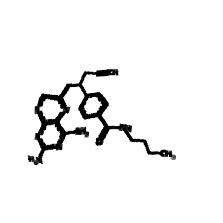 C#CCC(Cc1cnc2nc(N)nc(N)c2n1)c1ccc(C(=O)NCCCC)cc1